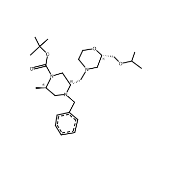 CC(C)OC[C@@H]1CN(C[C@H]2CN(C(=O)OC(C)(C)C)[C@H](C)CN2Cc2ccccc2)CCO1